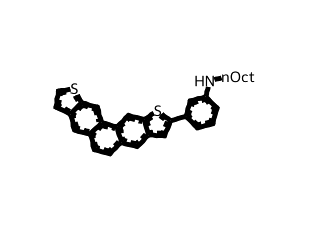 CCCCCCCCNc1cccc(-c2cc3cc4ccc5cc6ccsc6cc5c4cc3s2)c1